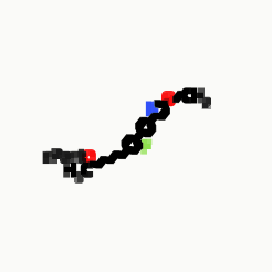 C=CCOc1ccc(-c2ccc(-c3ccc(C=CCCCC(C)OCCCCC)cc3F)cc2)nc1